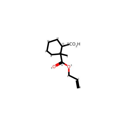 C=CCOC(=O)C1(C)CCCCC1C(=O)O